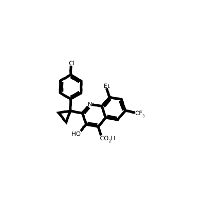 CCc1cc(C(F)(F)F)cc2c(C(=O)O)c(O)c(C3(c4ccc(Cl)cc4)CC3)nc12